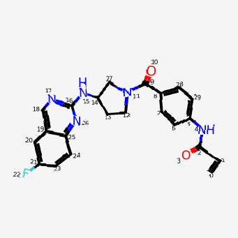 C=CC(=O)Nc1ccc(C(=O)N2CCC(Nc3ncc4cc(F)ccc4n3)C2)cc1